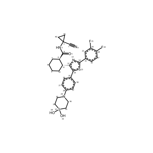 N#CC1(NC(=O)[C@@H]2CCCC[C@H]2c2nc(-c3ccc(F)c(F)c3)sc2-c2ccc(N3CCS(O)(O)CC3)cc2)CC1